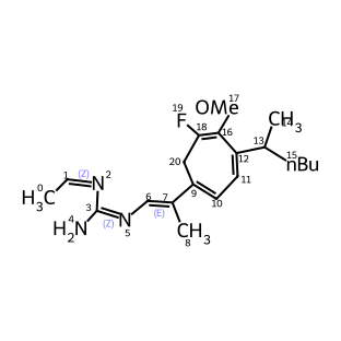 C\C=N/C(N)=N\C=C(/C)C1=CC=C(C(C)CCCC)C(OC)=C(F)C1